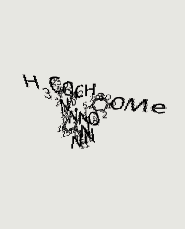 COc1ccc(Cn2c(=O)n3ncnc3c3ccc(CN4C[C@@H](C)O[C@@H](C)C4)nc32)cc1